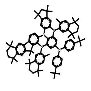 Cc1cc2c(cc1N1c3cc4c(cc3B3c5ccc6c(c5N(c5cc7c(cc5C)C(C)(C)CCC7(C)C)c5cc(N(c7ccc(C(C)(C)C)cc7)c7ccc(C(C)(C)C)cc7)cc1c53)C(C)(C)c1cc3c(cc1-6)C(C)(C)CCC3(C)C)C(C)(C)CC4(C)C)C(C)(C)CCC2(C)C